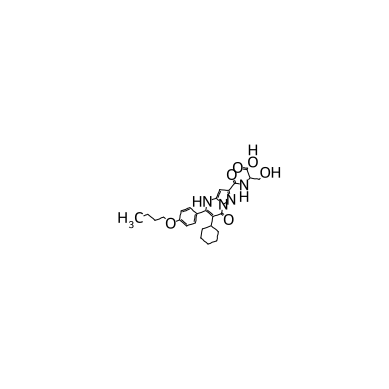 CCCCOc1ccc(-c2[nH]c3cc(C(=O)NC(CO)C(=O)O)nn3c(=O)c2C2CCCCC2)cc1